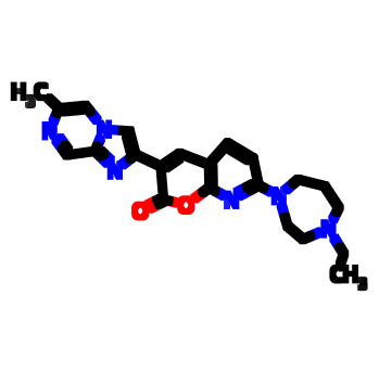 CCN1CCCN(c2ccc3cc(-c4cn5cc(C)ncc5n4)c(=O)oc3n2)CC1